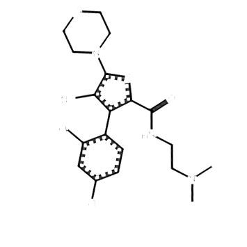 CN(C)CCNC(=O)c1sc(N2CCOCC2)c(C#N)c1-c1ccc(Cl)cc1Cl